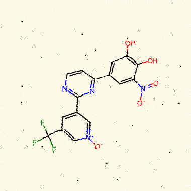 O=[N+]([O-])c1cc(-c2ccnc(-c3cc(C(F)(F)F)c[n+]([O-])c3)n2)cc(O)c1O